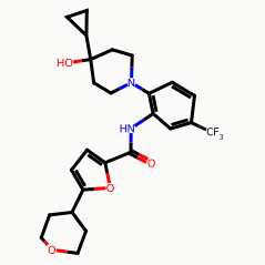 O=C(Nc1cc(C(F)(F)F)ccc1N1CCC(O)(C2CC2)CC1)c1ccc(C2CCOCC2)o1